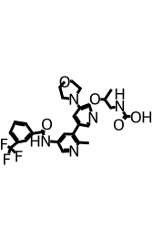 Cc1ncc(NC(=O)c2cccc(C(F)(F)F)c2)cc1-c1cnc(OC(C)CNC(=O)O)c(N2CCOCC2)c1